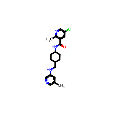 Cc1cncc(NCC2CCC(NC(=O)c3cc(Cl)cnc3C)CC2)c1